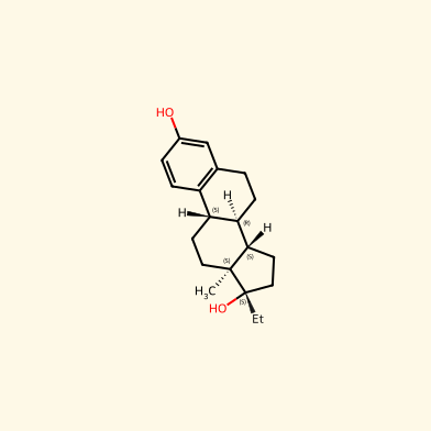 CC[C@]1(O)CC[C@H]2[C@@H]3CCc4cc(O)ccc4[C@H]3CC[C@@]21C